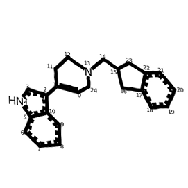 C1=C(c2c[nH]c3ccccc23)CCN(CC2Cc3ccccc3C2)C1